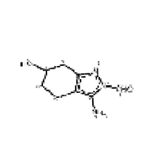 Nc1c2c(nn1C=O)CC(O)CC2